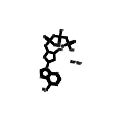 COP(=O)(OC1OC(n2cnc3c(N)ncnc32)CC1O)OP(=O)([O-])OP(=O)([O-])O.[Na+].[Na+]